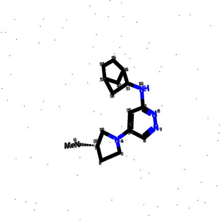 CN[C@H]1CCN(c2cnnc(NC3CC4CCC3C4)c2)C1